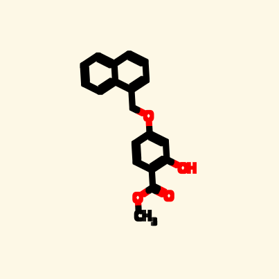 COC(=O)c1ccc(OCc2cccc3ccccc23)cc1O